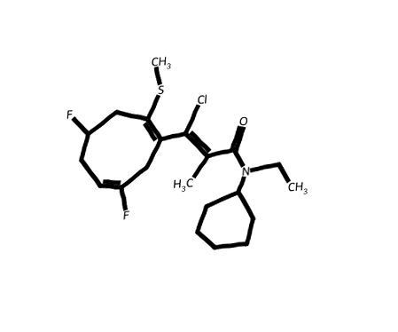 CCN(C(=O)/C(C)=C(Cl)/C1=C(\SC)CC(F)C/C=C(/F)C1)C1CCCCC1